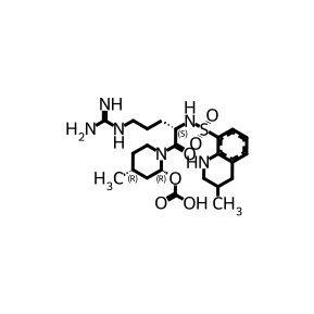 CC1CNc2c(cccc2S(=O)(=O)N[C@@H](CCCNC(=N)N)C(=O)N2CC[C@@H](C)C[C@H]2OC(=O)O)C1